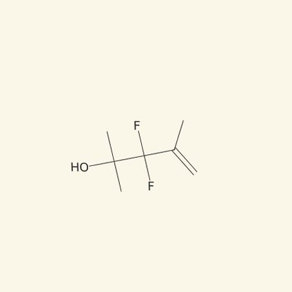 C=C(C)C(F)(F)C(C)(C)O